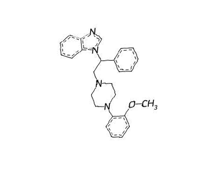 COc1ccccc1N1CCN(CC(c2ccccc2)n2cnc3ccccc32)CC1